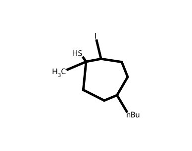 CCCCC1CCC(I)C(C)(S)CC1